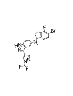 CN(c1ccc2[nH]nc(-c3cnn(C(F)F)c3)c2c1)C1CCc2c1ccc(Br)c2F